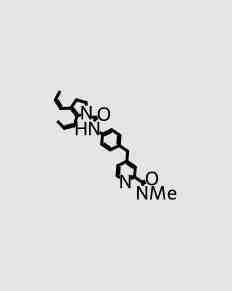 C/C=C\C1=C(/C=C\C)N(C(=O)Nc2ccc(Cc3ccnc(C(=O)NC)c3)cc2)CC1